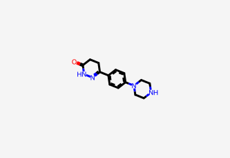 O=C1CCC(c2ccc(N3CCNCC3)cc2)=NN1